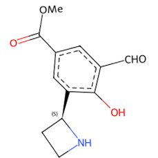 COC(=O)c1cc(C=O)c(O)c([C@@H]2CCN2)c1